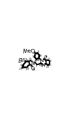 COc1ccc(-n2c(CCN3Cc4c(Br)cccc4C3=O)nc3ccccc3c2=O)cc1